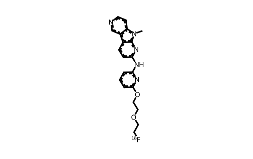 Cn1c2ccncc2c2ccc(Nc3cccc(OCCOCC[18F])n3)nc21